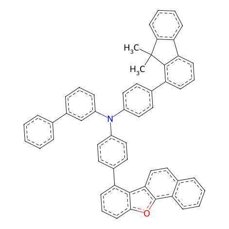 CC1(C)c2ccccc2-c2cccc(-c3ccc(N(c4ccc(-c5cccc6oc7c8ccccc8ccc7c56)cc4)c4cccc(-c5ccccc5)c4)cc3)c21